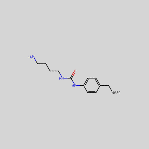 CC(=O)NCc1ccc(NC(=O)NCCCCN)cc1